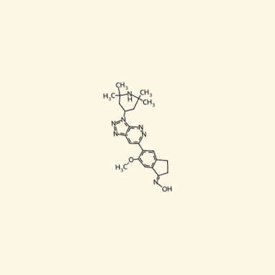 COc1cc2c(cc1-c1cc3nnn(C4CC(C)(C)NC(C)(C)C4)c3nn1)CCC2=NO